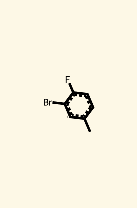 Cc1[c]c(Br)c(F)cc1